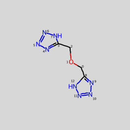 C(OCc1nnn[nH]1)c1nnn[nH]1